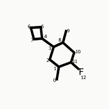 CC1CC(C2CCC2)C(C)CC1F